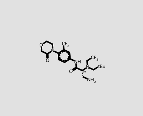 CC(C)(C)CN(CC(F)(F)F)[C@H](CN)C(=O)Nc1ccc(N2CCOCC2=O)c(C(F)(F)F)c1